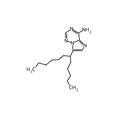 CCCCCCC(CCCCC)c1cnc2c(N)ncnn12